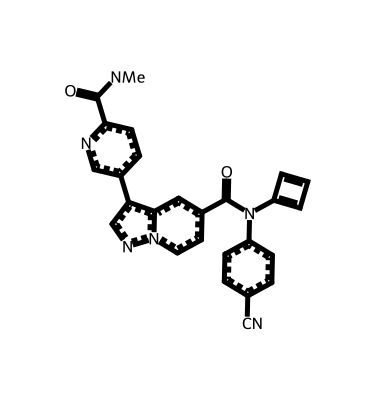 CNC(=O)c1ccc(-c2cnn3ccc(C(=O)N(C4=CC=C4)c4ccc(C#N)cc4)cc23)cn1